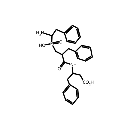 NC(Cc1ccccc1)P(=O)(O)CC(Cc1ccccc1)C(=O)NC(CC(=O)O)Cc1ccccc1